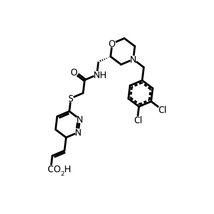 O=C(O)/C=C/C1CC=C(SCC(=O)NC[C@H]2CN(Cc3ccc(Cl)c(Cl)c3)CCO2)N=N1